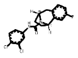 O=C(Nc1ccc(Cl)c(Cl)c1)N1[C@@H]2CC[C@H]1c1cc(F)ccc1C2